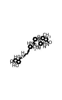 COc1cccc(Nc2c(C(N)=O)cnc3c(C)cc(S(=O)(=O)c4cccc(C(=O)Nc5ccc(C#CCCCNC[C@H](O)c6ccc(O)c7[nH]c(=O)ccc67)cc5C)c4)cc23)c1